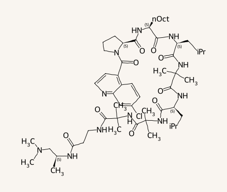 CCCCCCCC[C@H](NC(=O)[C@@H]1CCCN1C(=O)c1ccnc2cc(Cl)ccc12)C(=O)N[C@@H](CC(C)C)C(=O)NC(C)(C)C(=O)N[C@@H](CC(C)C)C(=O)NC(C)(C)C(=O)NC(C)(C)C(=O)NCCC(=O)N[C@@H](C)CN(C)C